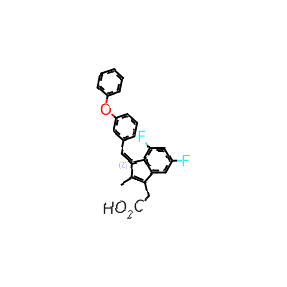 CC1=C(CC(=O)O)c2cc(F)cc(F)c2/C1=C\c1cccc(Oc2ccccc2)c1